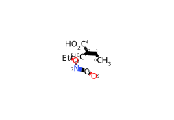 CC=C(C)C(=O)O.CCON=C=O